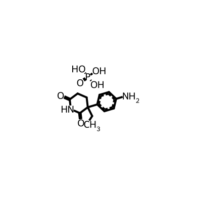 CCC1(c2ccc(N)cc2)CCC(=O)NC1=O.O=P(O)(O)O